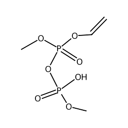 C=COP(=O)(OC)OP(=O)(O)OC